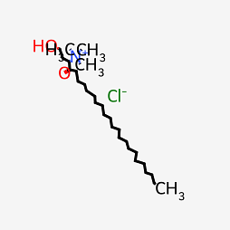 CCCCCCCCCCCCCCCCCCCCCC(=O)C(CCO)[N+](C)(C)C.[Cl-]